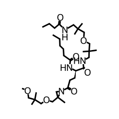 CCCCCC(=O)N[C@H](CCC(=O)N1CC1(C)COCC(C)(C)COC)C(=O)NCC(C)(C)COCC(C)(C)CNC(=O)CCC